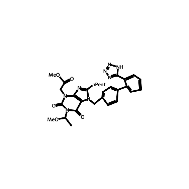 CCCCCc1nc2c(c(=O)n(C(C)OC)c(=O)n2CC(=O)OC)n1Cc1ccc(-c2ccccc2-c2nnn[nH]2)cc1